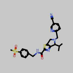 CC(C)C1c2nc(C(=O)NCc3ccc(S(C)(=O)=O)cc3)sc2CN1Cc1ccc(C#N)cn1